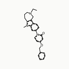 CCN1CCCc2c(c3ccc(-n4ccc(OCc5ccccc5)cc4=O)cc3n2C)C1